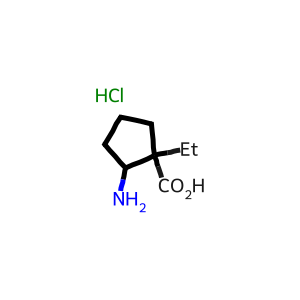 CCC1(C(=O)O)CCCC1N.Cl